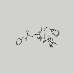 CC(C)(C)NC(=O)N[C@@H](CCC(=O)OCc1ccccc1)C(=O)OCc1ccccc1